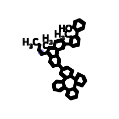 CC/C=C\c1c(C)c2ccc(-c3cccc(-c4ccccc4O)c3C)cc2c2cc(-c3ccc4c(c3)-c3ccccc3-c3ccccc3-c3ccccc3-4)ccc12